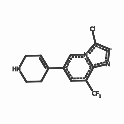 FC(F)(F)c1cc(C2=CCNCC2)cn2c(Cl)[c]nc12